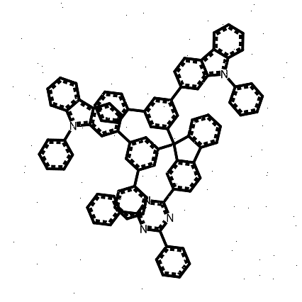 c1ccc(-c2cc(-c3ccc4c5ccccc5n(-c5ccccc5)c4c3)cc(C3(c4cc(-c5ccccc5)cc(-c5ccc6c7ccccc7n(-c7ccccc7)c6c5)c4)c4ccccc4-c4ccc(-c5nc(-c6ccccc6)nc(-c6ccccc6)n5)cc43)c2)cc1